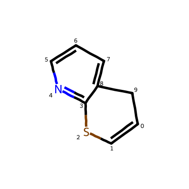 C1=CSc2ncccc2C1